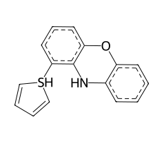 C1=C[SH](c2cccc3c2Nc2ccccc2O3)C=C1